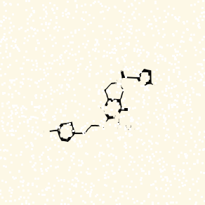 COn1c(NCCc2ccc(C(F)(F)F)cc2)nc2c(c1=O)CN(C(=O)c1ccc(C)s1)CC2